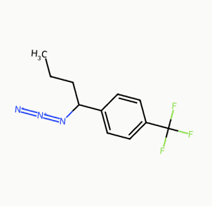 CCCC(N=[N+]=[N-])c1ccc(C(F)(F)F)cc1